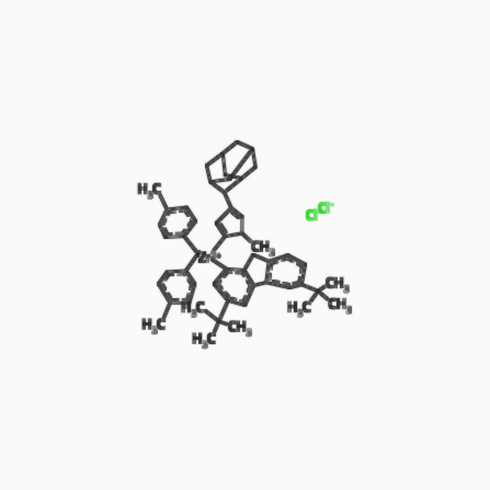 Cc1ccc([C](c2ccc(C)cc2)=[Zr+2]([C]2=CC(C3C4CC5CC(C4)CC3C5)=CC2C)[c]2cc(C(C)(C)C)cc3c2Cc2ccc(C(C)(C)C)cc2-3)cc1.[Cl-].[Cl-]